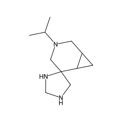 CC(C)N1CC2CC2C2(CNCN2)C1